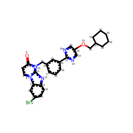 O=c1ccn2c3cc(Br)ccc3nc2n1Cc1cccc(-c2ncc(OCC3CCCCC3)cn2)c1